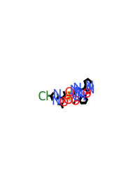 COc1cccc(OC)c1-n1c(NS(=O)(=O)C(C)C(OC(C)C)c2ncc(Cl)cn2)nnc1-c1cnn2c1CCC2